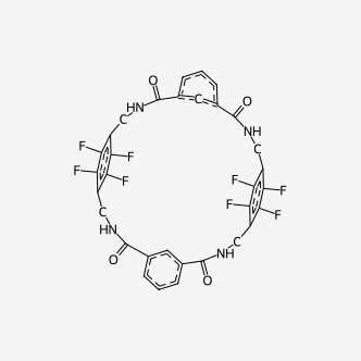 O=C1NCc2c(F)c(F)c(c(F)c2F)CNC(=O)c2cccc(c2)C(=O)NCc2c(F)c(F)c(c(F)c2F)CNC(=O)c2cccc1c2